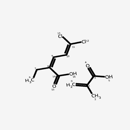 C=C(C)C(=O)O.CCC(=CC=C(Cl)Cl)C(=O)O